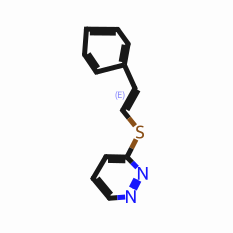 C(=C\c1ccccc1)/Sc1cccnn1